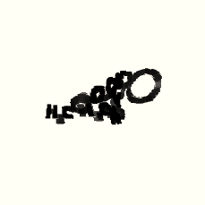 Cc1ccc(OCC(=O)N(CC2SCCC23CCCCCCCCC3)c2ccnn2C)cc1